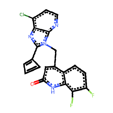 O=c1cc(Cn2c(C3=CC=C3)nc3c(Cl)ccnc32)c2ccc(F)c(F)c2[nH]1